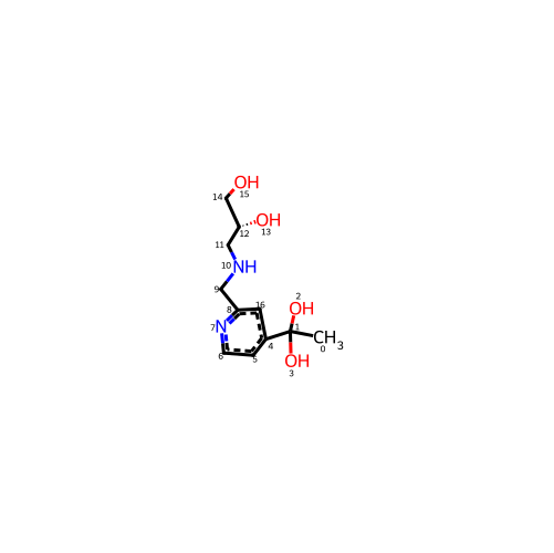 CC(O)(O)c1ccnc(CNC[C@@H](O)CO)c1